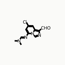 CN(C)C=Nc1cc(Cl)cc2c(C=O)ncn12